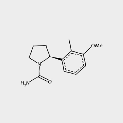 COc1cccc([C@@H]2CCCN2C(N)=O)c1C